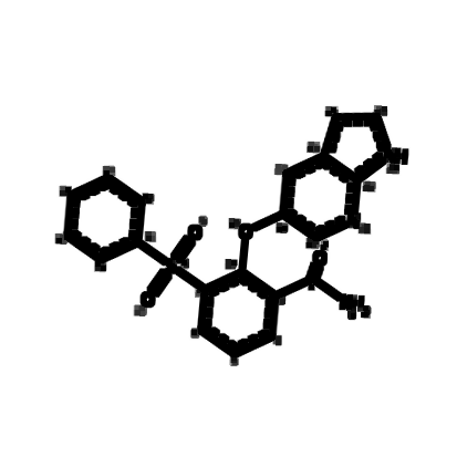 NC(=O)c1cccc(S(=O)(=O)c2ccccc2)c1Oc1cnc2[nH]ccc2c1